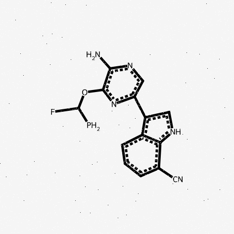 N#Cc1cccc2c(-c3cnc(N)c(OC(F)P)n3)c[nH]c12